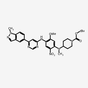 COc1cc(N(C)C2CCN(C(=O)OC(C)(C)C)CC2)c([N+](=O)[O-])cc1Nc1cc(-c2ccc3c(cnn3C)c2)ncn1